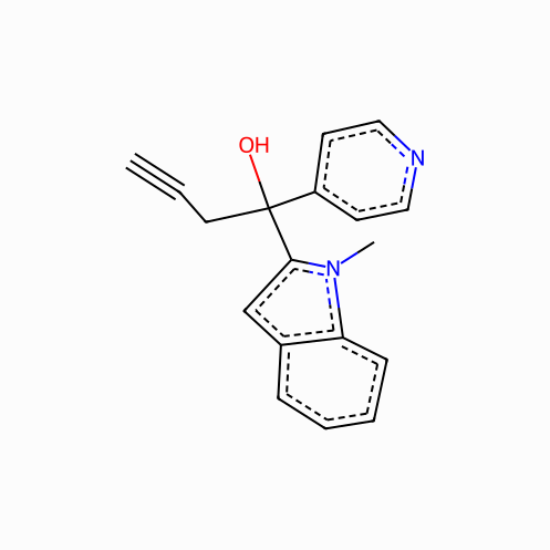 C#CCC(O)(c1ccncc1)c1cc2ccccc2n1C